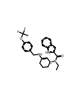 CCN(C(=O)c1cc2ccccc2[nH]1)[C@@H]1C=C(NCc2ccc(OC(F)(F)F)cc2)CCC1